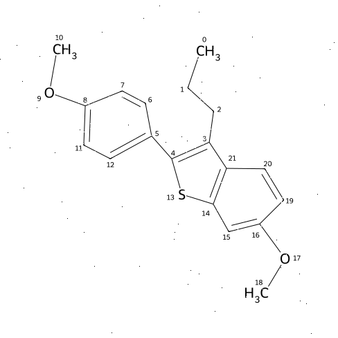 CCCc1c(-c2ccc(OC)cc2)sc2cc(OC)ccc12